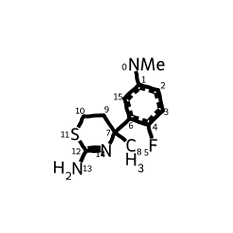 CNc1ccc(F)c(C2(C)CCSC(N)=N2)c1